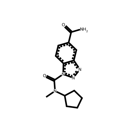 CN(C(=O)n1nnc2cc(C(N)=O)ccc21)C1CCCC1